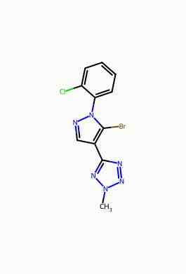 Cn1nnc(-c2cnn(-c3ccccc3Cl)c2Br)n1